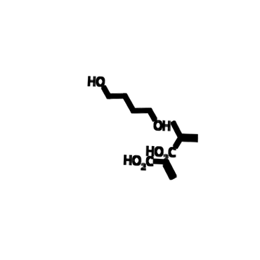 C=C(C)C(=O)O.C=CC(=O)O.OCCCCO